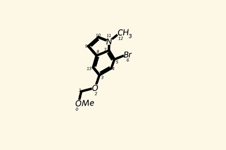 COCOc1cc(Br)c2c(ccn2C)c1